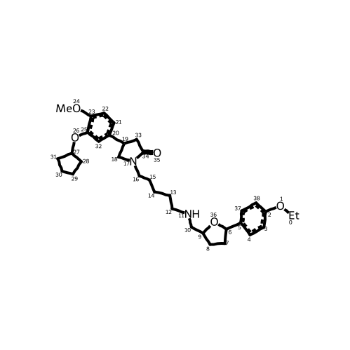 CCOc1ccc(C2CCC(CNCCCCCN3CC(c4ccc(OC)c(OC5CCCC5)c4)CC3=O)O2)cc1